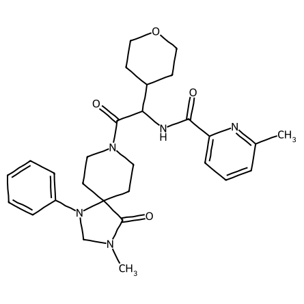 Cc1cccc(C(=O)NC(C(=O)N2CCC3(CC2)C(=O)N(C)CN3c2ccccc2)C2CCOCC2)n1